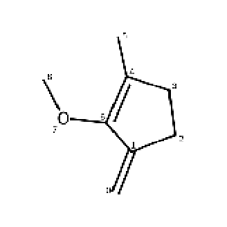 C=C1CCC(C)=C1OC